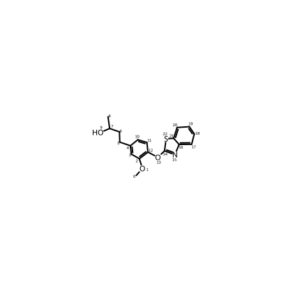 COc1cc(CCC(C)O)ccc1Oc1nc2ccccc2s1